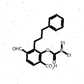 CCN(CC)C(=O)Oc1c(C(=O)O)ccc(C=O)c1CCCc1ccccc1